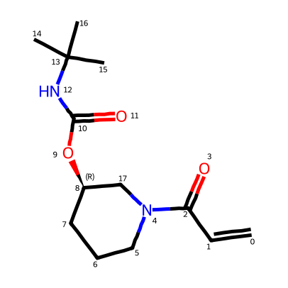 C=CC(=O)N1CCC[C@@H](OC(=O)NC(C)(C)C)C1